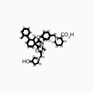 Cc1ccccc1C1=CC=CC(c2nnc(CN3CC[C@@H](O)C3)o2)(c2nc3cc(CN4CCCC[C@H]4C(=O)O)ccc3o2)C1C